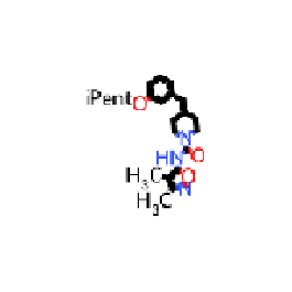 CCCC(C)Oc1cccc(C=C2CCN(C(=O)Nc3onc(C)c3C)CC2)c1